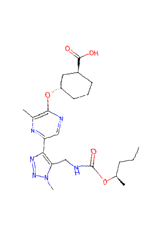 CCC[C@@H](C)OC(=O)NCc1c(-c2cnc(O[C@H]3CCC[C@H](C(=O)O)C3)c(C)n2)nnn1C